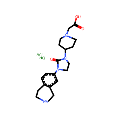 Cl.Cl.O=C(O)CN1CCC(N2CCN(c3ccc4c(c3)CCNCC4)C2=O)CC1